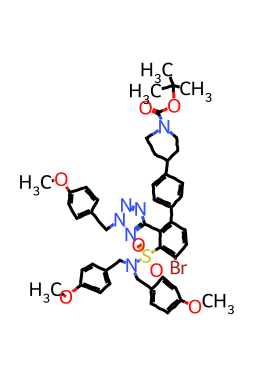 COc1ccc(CN(Cc2ccc(OC)cc2)S(=O)(=O)c2c(Br)ccc(-c3ccc(C4CCN(C(=O)OC(C)(C)C)CC4)cc3)c2-c2nnn(Cc3ccc(OC)cc3)n2)cc1